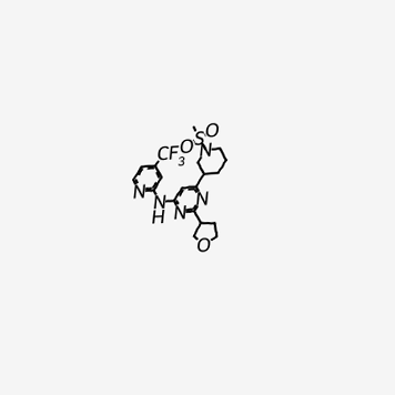 CS(=O)(=O)N1CCCC(c2cc(Nc3cc(C(F)(F)F)ccn3)nc(C3CCOC3)n2)C1